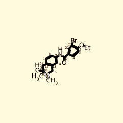 CCOc1ccc(C(=O)Nc2ccc3c(c2)CN(C)C(C)(C)C3)cc1Br